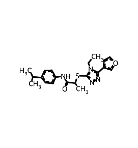 CCn1c(SC(C)C(=O)Nc2ccc(C(C)C)cc2)nnc1-c1ccoc1